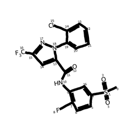 CS(=O)(=O)c1ccc(F)c(NC(=O)c2cc(C(F)(F)F)nn2-c2ccccc2Cl)c1